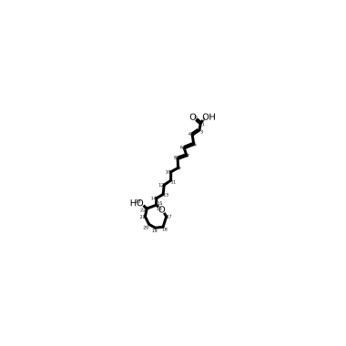 O=C(O)C=CC=CC=CCCCCCCC1OCCCCCC1O